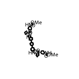 COC(=O)N[C@H]1CC[C@H](C(=O)N2CCC[C@H]2c2nc3cc(-c4ccc(-c5ccc6[nH]c([C@@H]7CCCN7C(=O)[C@H]7CC[C@H](NC(=O)OC)CC7)nc6c5)cc4)ccc3[nH]2)CC1